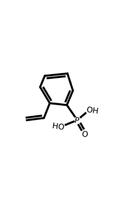 C=Cc1ccccc1P(=O)(O)O